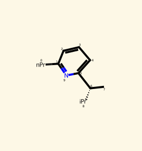 CCCc1cccc([C@H](C)C(C)C)n1